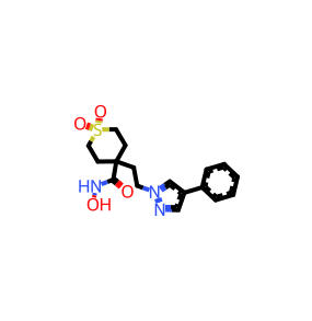 O=C(NO)C1(CCn2cc(-c3ccccc3)cn2)CCS(=O)(=O)CC1